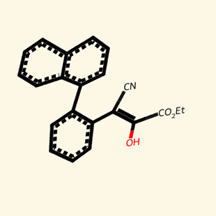 CCOC(=O)/C(O)=C(\C#N)c1ccccc1-c1cccc2ccccc12